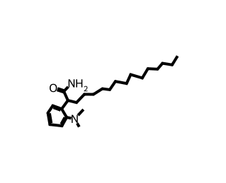 CCCCCCCCCCCCCCC(C(N)=O)c1ccccc1N(C)C